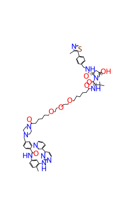 Cc1ccc(NC(=O)c2ccc(CN3CCN(C(=O)CCCCCOCCOCCOCCCCCC(=O)N[C@H](C(=O)N4C[C@H](O)C[C@H]4C(=O)NCc4ccc(-c5scnc5C)cc4)C(C)(C)C)CC3)cc2)cc1Nc1nccc(-c2cccnc2)n1